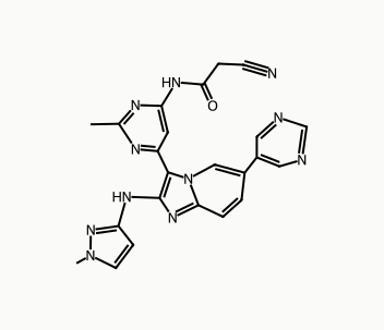 Cc1nc(NC(=O)CC#N)cc(-c2c(Nc3ccn(C)n3)nc3ccc(-c4cncnc4)cn23)n1